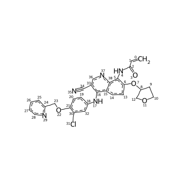 C=CC(=O)Nc1c(OC2CCOC2)ccc2c(Nc3ccc(OCc4ccccn4)c(Cl)c3)c(C#N)cnc12